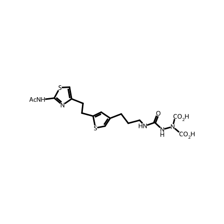 CC(=O)Nc1nc(CCc2cc(CCCNC(=O)NN(C(=O)O)C(=O)O)cs2)cs1